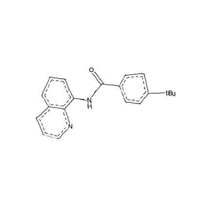 CC(C)(C)c1ccc(C(=O)Nc2cccc3cccnc23)cc1